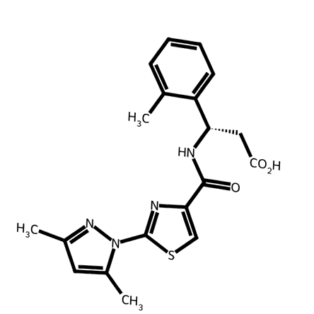 Cc1cc(C)n(-c2nc(C(=O)N[C@@H](CC(=O)O)c3ccccc3C)cs2)n1